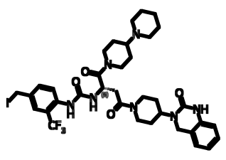 O=C(Nc1ccc(CI)cc1C(F)(F)F)N[C@@H](CC(=O)N1CCC(N2Cc3ccccc3NC2=O)CC1)C(=O)N1CCC(N2CCCCC2)CC1